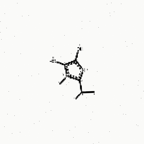 CC(C)c1nc(O)c(O)n1C